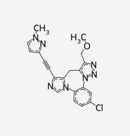 COCc1nnn2c1Cc1c(C#Cc3ccn(C)n3)ncn1-c1ccc(Cl)cc1-2